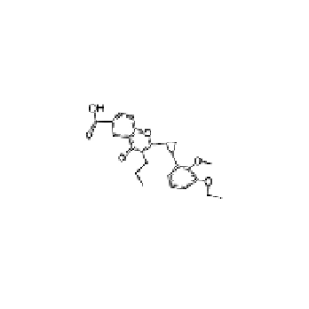 CCCc1c(C2CC2c2cccc(OCC)c2OC)oc2ccc(C(=O)O)cc2c1=O